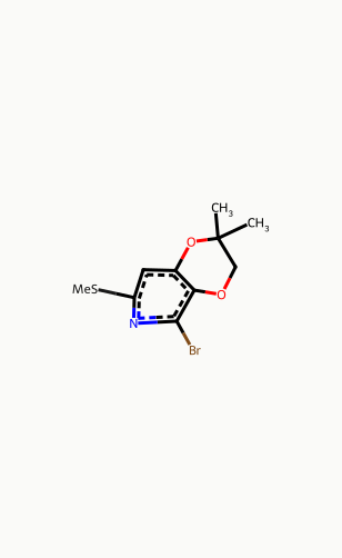 CSc1cc2c(c(Br)n1)OCC(C)(C)O2